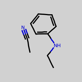 CC#N.CCNc1ccccc1